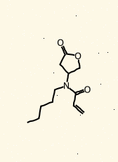 C=CC(=O)N(CCCCC)C1COC(=O)C1